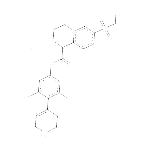 CCS(=O)(=O)c1ccc2c(c1)CCNC2C(=O)Nc1cc(Cl)c(C2=CCOCC2)c(Cl)c1.Cl